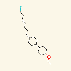 CCOC1CCC(C2CCC(CCC/C=C/CCF)CC2)CC1